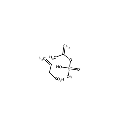 C=C(C)OP(=O)(O)O.C=CCS(=O)(=O)O